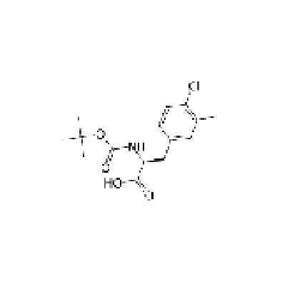 CC(C)(C)OC(=O)N[C@@H](Cc1ccc(Cl)c(F)c1)C(=O)O